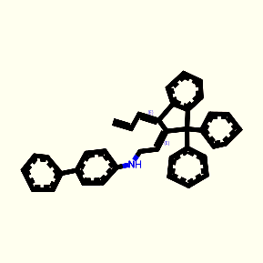 C=C/C=C1\C(=C/CNc2ccc(-c3ccccc3)cc2)C(c2ccccc2)(c2ccccc2)c2ccccc21